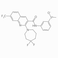 C[S+]([O-])c1cccc(NC(=O)c2cc3ccc(C(F)(F)F)cc3nc2N2CCCC(F)(F)CC2)c1